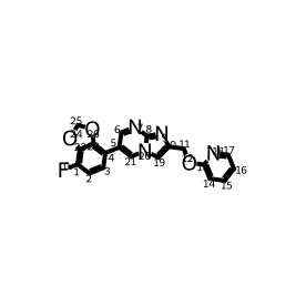 Fc1ccc(-c2cnc3nc(COc4ccccn4)cn3c2)c2c1OCO2